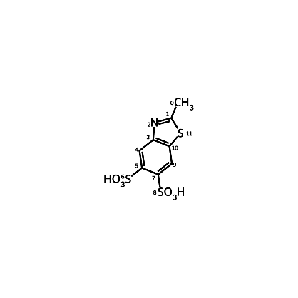 Cc1nc2cc(S(=O)(=O)O)c(S(=O)(=O)O)cc2s1